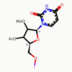 COC1C(OC(C)=O)[C@H](COI)O[C@@H]1n1ccc(=O)[nH]c1=O